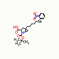 CC(C)(C)OC(=O)N1C(C(=O)O)CC2(CCCCC[Se]c3ccccc3[N+](=O)[O-])CC12